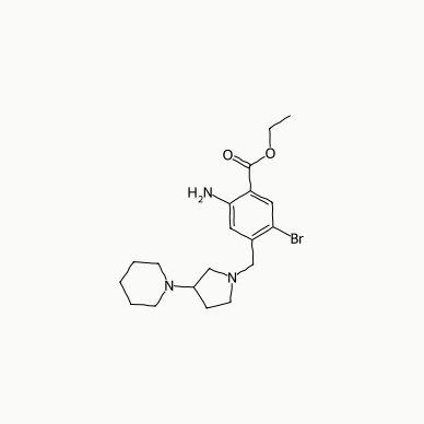 CCOC(=O)c1cc(Br)c(CN2CCC(N3CCCCC3)C2)cc1N